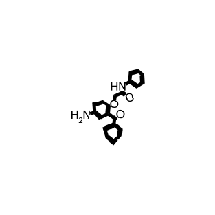 Nc1ccc(OCC(=O)Nc2ccccc2)c(C(=O)c2ccccc2)c1